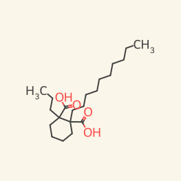 CCCCCCCCCCC1(C(=O)O)CCCCC1(CCC)C(=O)O